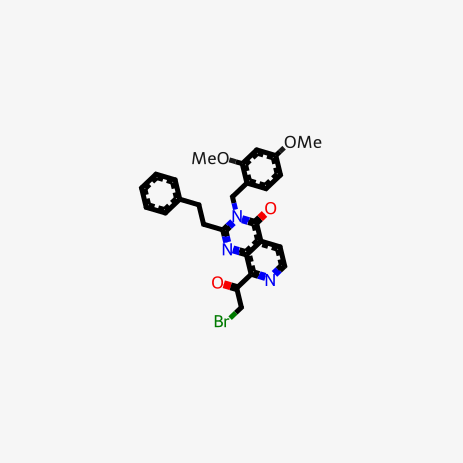 COc1ccc(Cn2c(CCc3ccccc3)nc3c(C(=O)CBr)nccc3c2=O)c(OC)c1